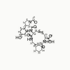 CC(=O)N1CC[C@H](c2ccc(O)cc2)[C@H]1C(=O)N[C@H]1CSSC[C@@H](C(=O)O)NC(=O)C2(CCCCC2)CCNC1=O